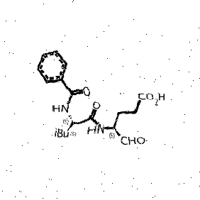 CC[C@H](C)[C@H](NC(=O)c1ccccc1)C(=O)N[C@H]([C]=O)CCC(=O)O